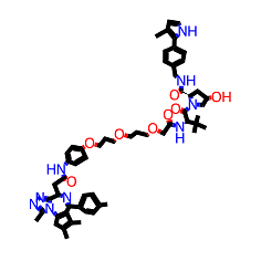 CC1=C(C)C2=C(C1)n1c(C)nnc1C(CC(=O)Nc1ccc(OCCCOCCCOCC(=O)N[C@H](C(=O)N3CC(O)C[C@H]3C(=O)NCc3ccc(-c4[nH]ccc4C)cc3)C(C)(C)C)cc1)N=C2c1ccc(C)cc1